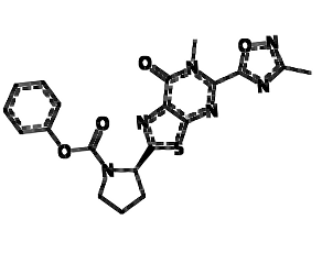 Cc1noc(-c2nc3sc([C@H]4CCCN4C(=O)Oc4ccccc4)nc3c(=O)n2C)n1